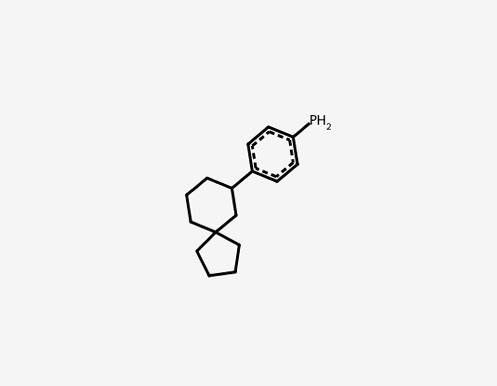 Pc1ccc(C2CCCC3(CCCC3)C2)cc1